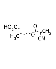 C=C(C#N)C(=O)OCCC(C)CC(=O)O